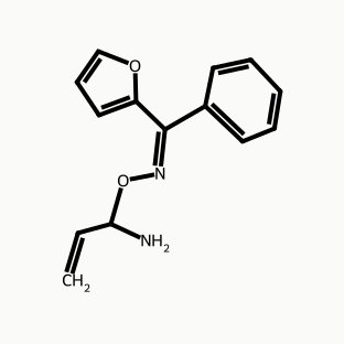 C=CC(N)ON=C(c1ccccc1)c1ccco1